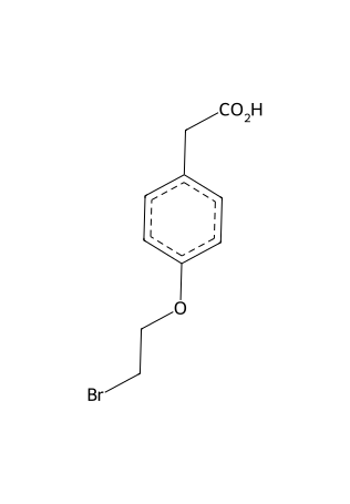 O=C(O)Cc1ccc(OCCBr)cc1